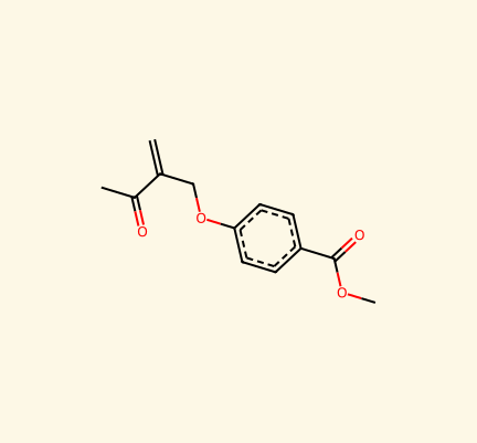 C=C(COc1ccc(C(=O)OC)cc1)C(C)=O